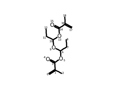 C=C(C)C(=O)OC(CC)OC(CC)OC(=O)C(=C)C